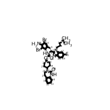 CN(C)CCCn1c([C@@H](Cc2cc(Br)c(N)c(Br)c2)NC(=O)ON2CCC(N3CCc4ccccc4NC3=O)CC2)nc2ccc(F)cc21